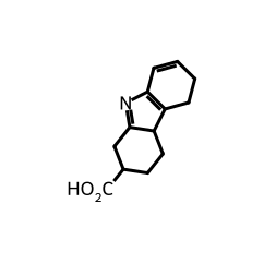 O=C(O)C1CCC2C(=NC3=C2CCC=C3)C1